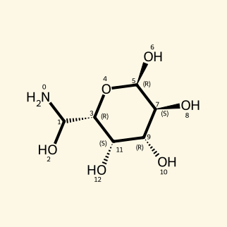 NC(O)[C@@H]1O[C@@H](O)[C@@H](O)[C@H](O)[C@@H]1O